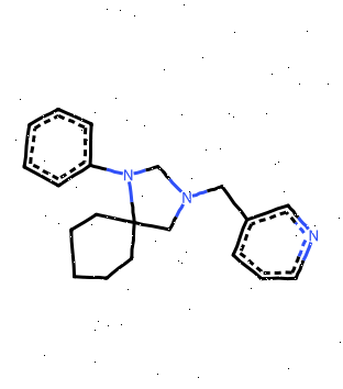 c1ccc(N2CN(Cc3cccnc3)CC23CCCCC3)cc1